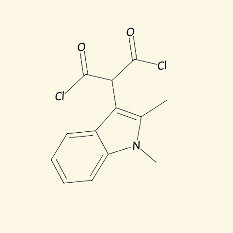 Cc1c(C(C(=O)Cl)C(=O)Cl)c2ccccc2n1C